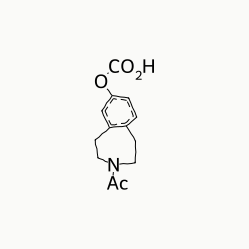 CC(=O)N1CCc2ccc(OC(=O)O)cc2CC1